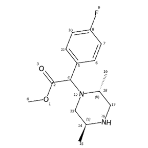 COC(=O)C(c1ccc(F)cc1)N1C[C@H](C)NC[C@H]1C